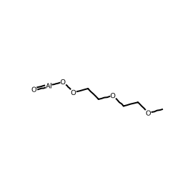 COCCOCCO[O][Al]=[O]